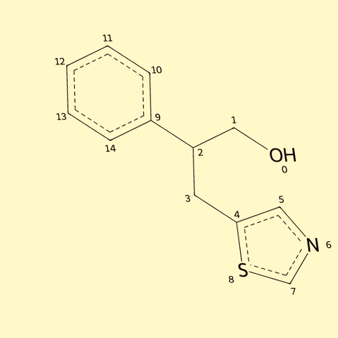 OCC(Cc1cncs1)c1ccccc1